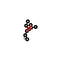 c1ccc(-c2ccc(N(c3ccc(-c4ccc5sc6ccccc6c5c4)cc3)c3cccc(-c4ccccc4)c3-c3ccccc3-c3ccccc3)cc2)cc1